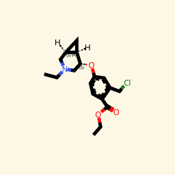 CCOC(=O)c1ccc(O[C@@H]2CN(CC)C[C@H]3C[C@H]32)cc1CCl